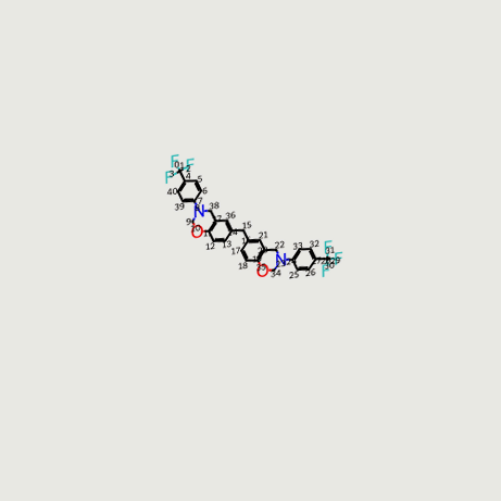 FC(F)(F)c1ccc(N2COc3ccc(Cc4ccc5c(c4)CN(c4ccc(C(F)(F)F)cc4)CO5)cc3C2)cc1